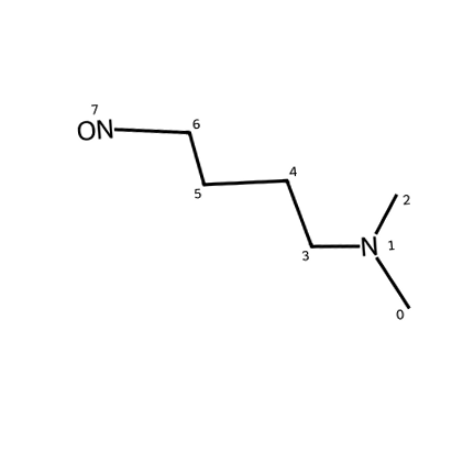 CN(C)CCCCN=O